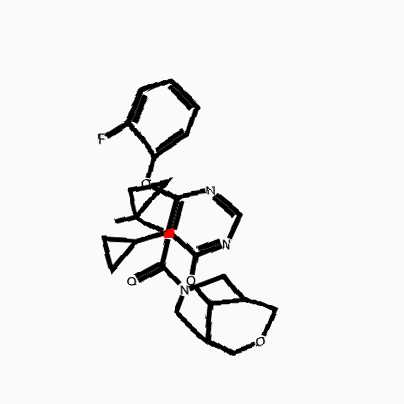 CC1(OC(=O)N2CC3COCC(C2)C3Oc2ncnc(Oc3ccccc3F)c2C2CC2)CC1